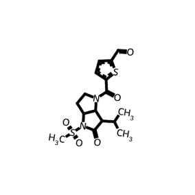 CC(C)C1C(=O)N(S(C)(=O)=O)C2CCN(C(=O)c3ccc(C=O)s3)C12